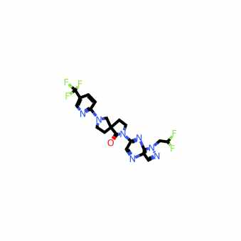 O=C1N(c2cnc3cnn(CC(F)F)c3n2)CCC12CCN(c1ccc(C(F)(F)F)cn1)C2